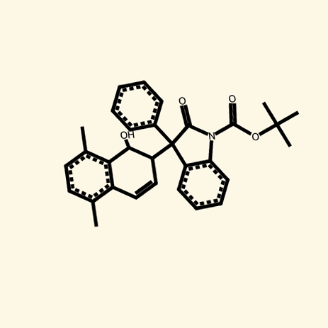 Cc1ccc(C)c2c1C=CC(C1(c3ccccc3)C(=O)N(C(=O)OC(C)(C)C)c3ccccc31)C2O